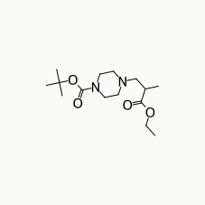 CCOC(=O)C(C)CN1CCN(C(=O)OC(C)(C)C)CC1